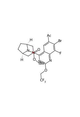 CC(=O)c1cc2c(N3C[C@H]4CC[C@@H](C3)N4C(=O)OC(C)(C)C)nc(OCC(F)(F)F)nc2c(F)c1Br